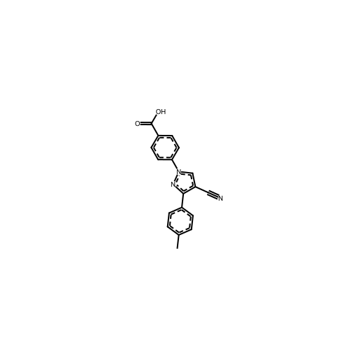 Cc1ccc(-c2nn(-c3ccc(C(=O)O)cc3)cc2C#N)cc1